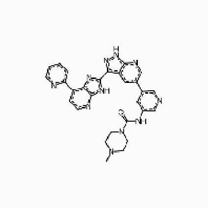 CN1CCN(C(=O)Nc2cncc(-c3cnc4[nH]nc(-c5nc6c(-c7ccccn7)ccnc6[nH]5)c4c3)c2)CC1